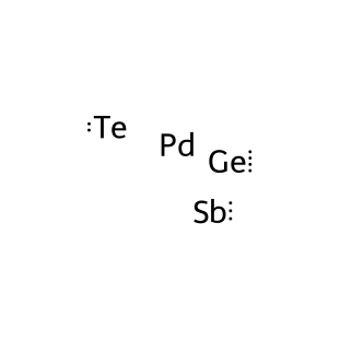 [Ge].[Pd].[Sb].[Te]